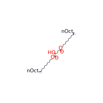 CCCCCCCC/C=C\CCCCCCCCOC(=O)CCC(O)C(=O)OCCCCCCCC/C=C\CCCCCCCC